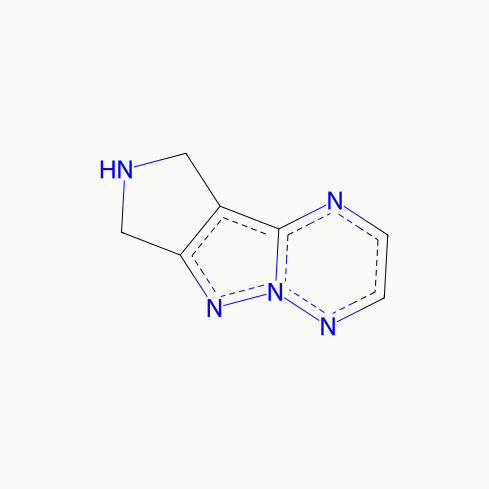 c1cnn2nc3c(c2n1)CNC3